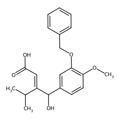 COc1ccc(C(O)C(=CC(=O)O)C(C)C)cc1OCc1ccccc1